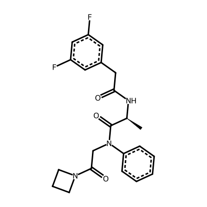 C[C@H](NC(=O)Cc1cc(F)cc(F)c1)C(=O)N(CC(=O)N1CCC1)c1ccccc1